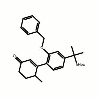 CCCCCCC(C)(C)c1ccc(C2=CC(=O)CCC2C)c(OCc2ccccc2)c1